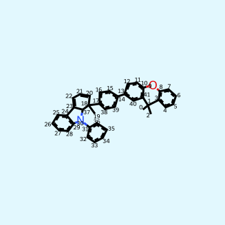 CC1(C)c2ccccc2Oc2ccc(-c3ccc(C4(C)C=CC=C5c6ccccc6N(c6ccccc6)C54)cc3)cc21